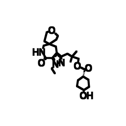 CCn1nc(CC(C)(C)COC(=O)[C@H]2CC[C@H](O)CC2)c2c1C(=O)NCC1(CCOCC1)C2